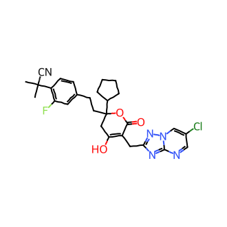 CC(C)(C#N)c1ccc(CCC2(C3CCCC3)CC(O)=C(Cc3nc4ncc(Cl)cn4n3)C(=O)O2)cc1F